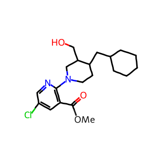 COC(=O)c1cc(Cl)cnc1N1CCC(CC2CCCCC2)C(CO)C1